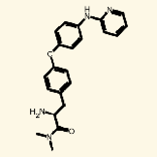 CN(C)C(=O)[C@@H](N)Cc1ccc(Oc2ccc(Nc3ccccn3)cc2)cc1